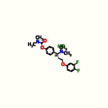 CN(C)C(=O)Oc1ccc([C@@H](CCOc2ccc(F)c(F)c2)N(C)C)cc1.Cl